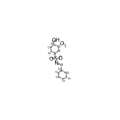 COc1cc(S(=O)(=O)/N=C/c2ccccc2)ccc1O